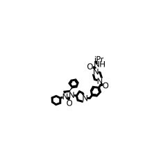 CC(C)NC(=O)N1CCN(C(=O)c2ccc(CN3CCC(N4C(=O)N(C5CCCCC5)C[C@H]4c4ccccc4)CC3)cc2)CC1